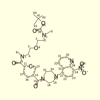 CN(CCOCCN(C)C(=O)c1ccc(C(=O)N2CCN(c3ccc([N+](=O)[O-])c4ncccc34)CC2)cc1)C(=O)OC(C)(C)C